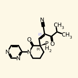 CC(C)C(=O)/C(C#N)=C\[C@]1(P)CCCN(c2ccncn2)C1=O